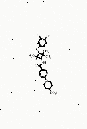 CC1(C)[C@H](NC(=O)c2cnc(N3CCC(C(=O)O)CC3)nc2)C(C)(C)[C@H]1Oc1ccc(C#N)c(Cl)c1